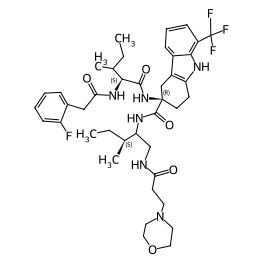 CCC(C)[C@H](NC(=O)Cc1ccccc1F)C(=O)N[C@]1(C(=O)NC(CNC(=O)CCN2CCOCC2)[C@@H](C)CC)CCc2[nH]c3c(C(F)(F)F)cccc3c2C1